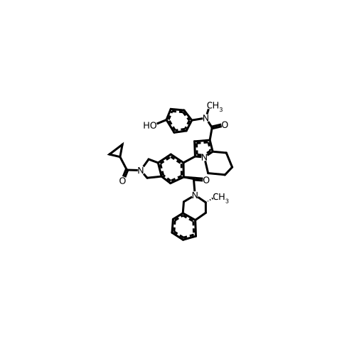 C[C@@H]1Cc2ccccc2CN1C(=O)c1cc2c(cc1-c1cc(C(=O)N(C)c3ccc(O)cc3)c3n1CCCC3)CN(C(=O)C1CC1)C2